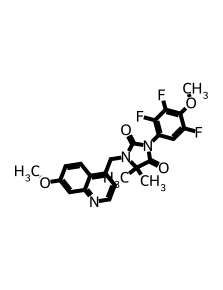 COc1ccc2c(CN3C(=O)N(c4cc(F)c(OC)c(F)c4F)C(=O)C3(C)C)ccnc2c1